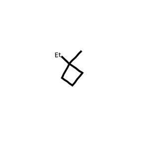 [CH2]CC1(C)CCC1